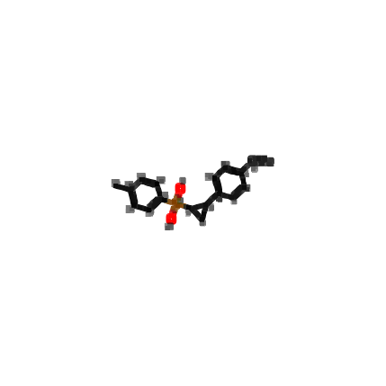 COc1ccc(C2CC2S(=O)(=O)c2ccc(C)cc2)cc1